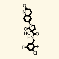 O=C1CCc2cc(N3CCC(O)(C(=O)NCc4cc(F)cc(Cl)c4F)C3=O)ccc2N1